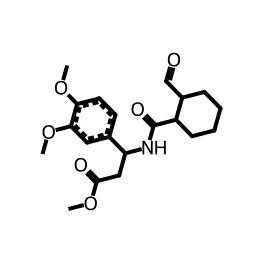 COC(=O)CC(NC(=O)C1CCCCC1C=O)c1ccc(OC)c(OC)c1